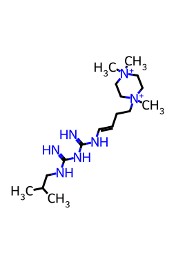 CC(C)CNC(=N)NC(=N)N/C=C/CC[N+]1(C)CC[N+](C)(C)CC1